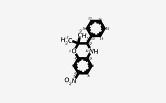 CC1(C)Oc2cc([N+](=O)[O-])ccc2NC1c1ccccc1